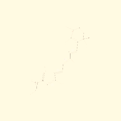 CON(C)C(=O)\C=C(C)/C=C/C=C(C)/C=C/C1=C(C)C(C)CCC1(C)C